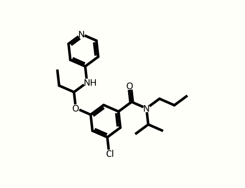 CCCN(C(=O)c1cc(Cl)cc(OC(CC)Nc2ccncc2)c1)C(C)C